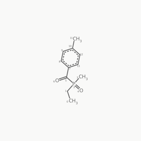 CCP(C)(=O)C(=O)c1ccc(C)cc1